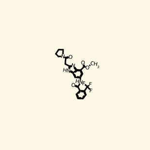 COC(=O)c1cc(NC(=O)c2ccccc2C(F)(F)F)cc2[nH]c(CC(=O)N3CCCC3)nc12